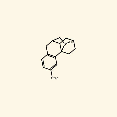 COc1ccc2c(c1)C13CCCCC1C(C2)CN3C